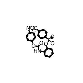 O=C(Nc1ccccc1OS(=O)(=O)c1ccc(C(F)(F)F)cc1)Oc1ccc([N+](=O)[O-])cc1